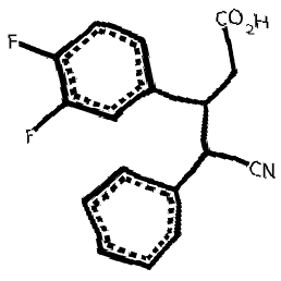 N#CC(c1ccccc1)C(CC(=O)O)c1ccc(F)c(F)c1